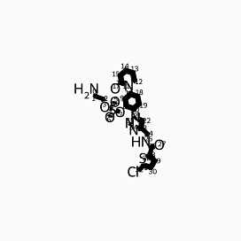 NCCOS(=O)(=O)Oc1cc(-n2ccccc2=O)ccc1-n1cc(CNC(=O)c2ccc(Cl)s2)nn1